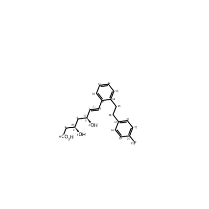 O=C(O)C[C@H](O)C[C@H](O)/C=C/c1ccccc1CCc1ccc(F)cc1